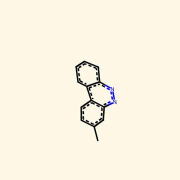 Cc1ccc2c(c1)nnc1ccccc12